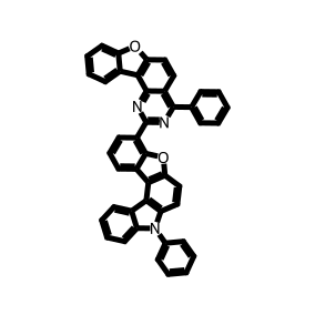 c1ccc(-c2nc(-c3cccc4c3oc3ccc5c(c6ccccc6n5-c5ccccc5)c34)nc3c2ccc2oc4ccccc4c23)cc1